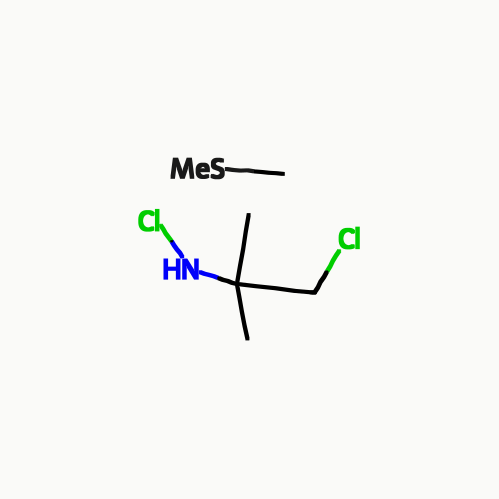 CC(C)(CCl)NCl.CSC